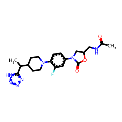 CC(=O)NCC1CN(c2ccc(N3CCC(C(C)c4nnn[nH]4)CC3)c(F)c2)C(=O)O1